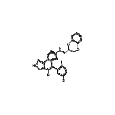 O=c1c2c[nH]nc2c2cnc(NC[C@H]3COc4ccccc4O3)nc2n1-c1cc(Cl)ccc1F